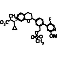 COc1cc(-c2ccc(C3CCc4ccc([C@H](C5CC5)[C@H](C)C(=O)O)cc4O3)cc2COS(C)(=O)=O)c(F)cn1